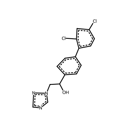 OC(Cn1cncn1)c1ccc(-c2ccc(Cl)cc2Cl)cc1